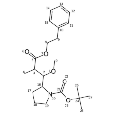 COC(C(C)C(=O)OCCc1ccccc1)C1CCCN1C(=O)OC(C)(C)C